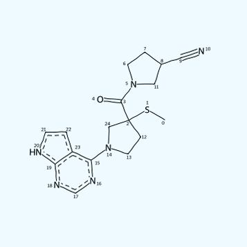 CSC1(C(=O)N2CCC(C#N)C2)CCN(c2ncnc3[nH]ccc23)C1